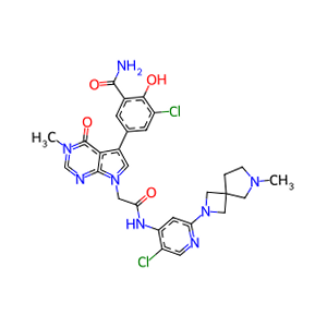 CN1CCC2(C1)CN(c1cc(NC(=O)Cn3cc(-c4cc(Cl)c(O)c(C(N)=O)c4)c4c(=O)n(C)cnc43)c(Cl)cn1)C2